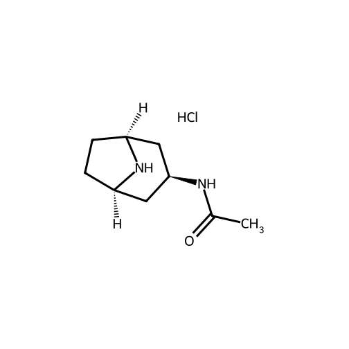 CC(=O)N[C@H]1C[C@H]2CC[C@@H](C1)N2.Cl